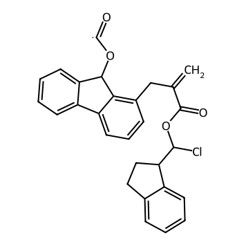 C=C(Cc1cccc2c1C(O[C]=O)c1ccccc1-2)C(=O)OC(Cl)C1CCc2ccccc21